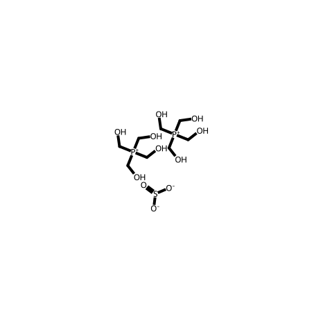 O=S([O-])[O-].OC[P+](CO)(CO)CO.OC[P+](CO)(CO)CO